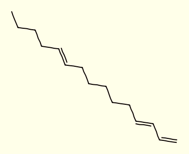 C=CC=CCCCCCC=CCCCC